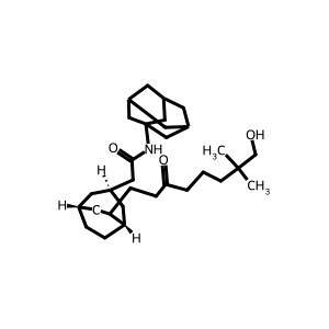 CC(C)(CO)CCCC(=O)CCC1C[C@@H]2CC[C@H]1C[C@H](CC(=O)NC13CC4CC(CC(C4)C1)C3)C2